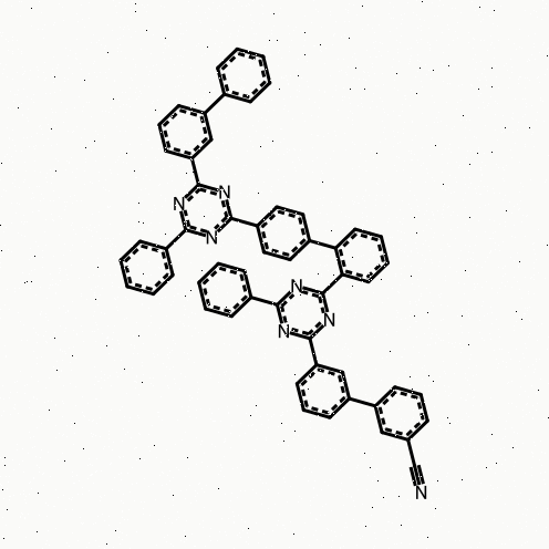 N#Cc1cccc(-c2cccc(-c3nc(-c4ccccc4)nc(-c4ccccc4-c4ccc(-c5nc(-c6ccccc6)nc(-c6cccc(-c7ccccc7)c6)n5)cc4)n3)c2)c1